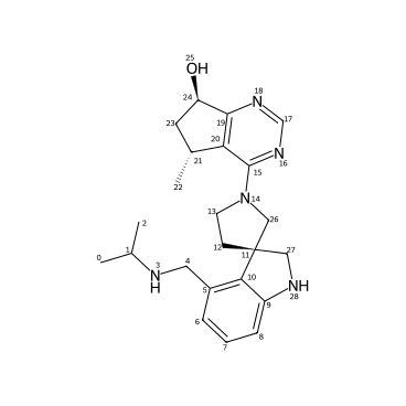 CC(C)NCc1cccc2c1[C@@]1(CCN(c3ncnc4c3[C@H](C)C[C@H]4O)C1)CN2